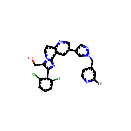 OCc1c(-c2c(Cl)cccc2Cl)nc2c3cc(-c4cnn(Cc5ccnc(C(F)(F)F)c5)c4)cnc3ccn12